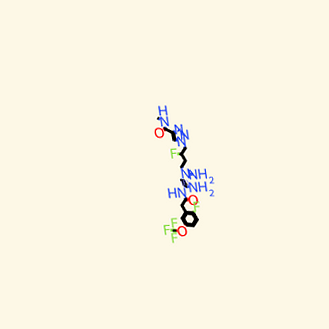 CNC(=O)c1cn(CC(F)CCN(N)/C=C(\N)NC(=O)Cc2cc(OC(F)(F)F)ccc2F)nn1